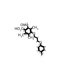 COc1c(C)c(OCCCOc2ccc(F)cc2)c(C)c(C)c1C(=O)O